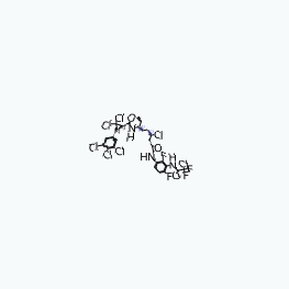 C=C/C(=C\C=C(\Cl)CC1OC1Nc1ccc(F)c(NC(=O)C(F)(F)Cl)c1F)NC(=O)[C@H]1[C@H](c2cc(Cl)c(Cl)c(Cl)c2)C1(Cl)Cl